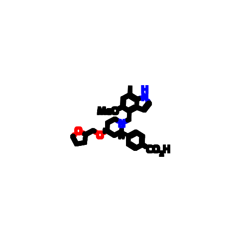 COc1cc(C)c2[nH]ccc2c1CN1CC[C@H](OCC2CCCO2)C[C@H]1c1ccc(C(=O)O)cc1